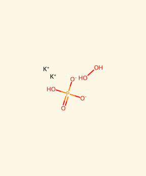 O=P([O-])([O-])O.OO.[K+].[K+]